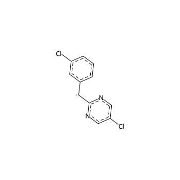 Clc1cnc([CH]c2cccc(Cl)c2)nc1